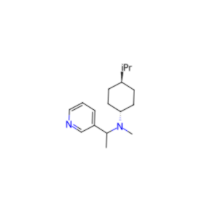 CC(c1cccnc1)N(C)[C@H]1CC[C@H](C(C)C)CC1